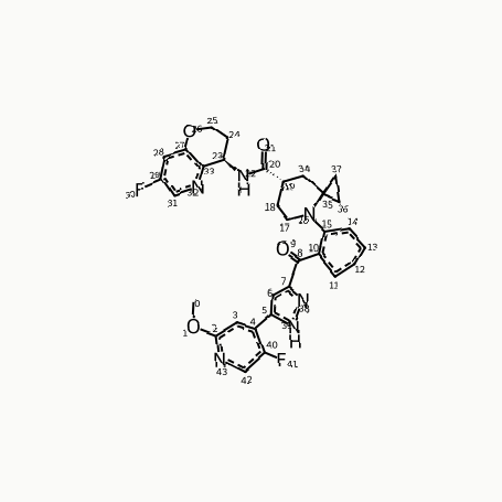 COc1cc(-c2cc(C(=O)c3ccccc3N3CC[C@H](C(=O)N[C@@H]4CCOc5cc(F)cnc54)CC34CC4)n[nH]2)c(F)cn1